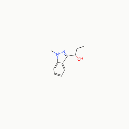 CCC(O)c1nn(C)c2ccccc12